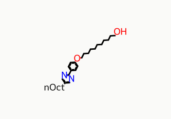 CCCCCCCCc1cnc(-c2ccc(OCCCCCCCCCCCO)cc2)nc1